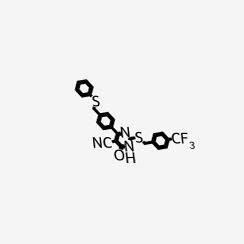 N#Cc1c(-c2ccc(CSc3ccccc3)cc2)nc(SCc2ccc(C(F)(F)F)cc2)[nH]c1=O